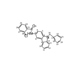 O=C(Nc1ccc2c(c1)c1ccccc1n2Cc1ccccc1)c1ccccc1Cl